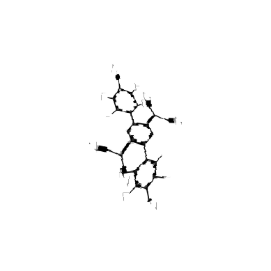 N#CC(C#N)=c1cc(-c2c(F)c(F)c(C#N)c(F)c2F)c(=C(C#N)C#N)cc1-c1c(F)c(F)c(C#N)c(F)c1F